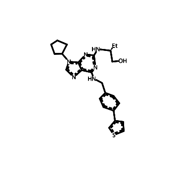 CC[C@H](CO)Nc1nc(NCc2ccc(-c3ccsc3)cc2)c2ncn(C3CCCC3)c2n1